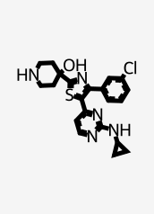 OC1(c2nc(-c3cccc(Cl)c3)c(-c3ccnc(NC4CC4)n3)s2)CCNCC1